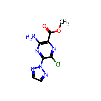 COC(=O)c1nc(Cl)c(-n2nccn2)nc1N